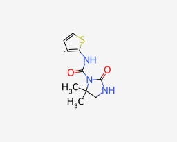 CC1(C)CNC(=O)N1C(=O)Nc1[c]ccs1